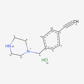 C#Cc1ccc(CN2CCNCC2)cc1.Cl